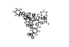 C/C(NC1(C)CCCCC1)=C(/C(=O)OCc1ccc([N+](=O)[O-])cc1)N1C(=O)C(NC(=O)COc2ccccc2)C1SS(=O)(=O)c1ccc(C)cc1